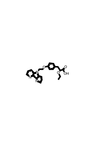 CCOC(Cc1ccc(OCCn2c3cccnc3c3ncccc32)cc1)C(=O)O